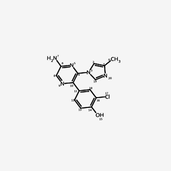 Cc1cn(-c2nc(N)cnc2-c2ccc(O)c(Cl)c2)cn1